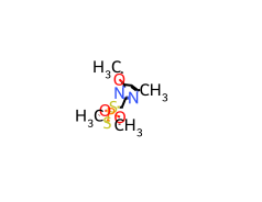 CCOc1cc(C)nc(CSP(=S)(OC)OC)n1